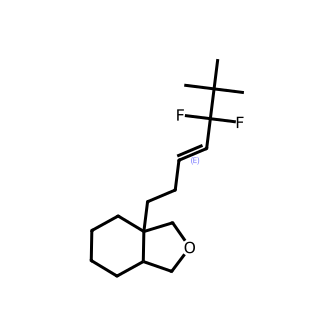 CC(C)(C)C(F)(F)/C=C/CCC12CCCCC1COC2